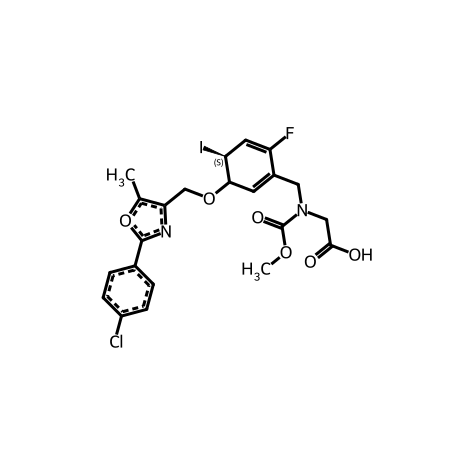 COC(=O)N(CC(=O)O)CC1=CC(OCc2nc(-c3ccc(Cl)cc3)oc2C)[C@@H](I)C=C1F